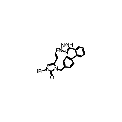 CC/C=C/c1cn(C(C)C)c(=O)n1Cc1ccc(-c2ccccc2-c2nnn[nH]2)cc1